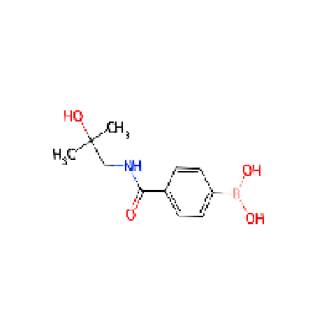 CC(C)(O)CNC(=O)c1ccc(B(O)O)cc1